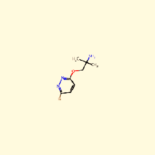 CC(C)(N)COc1ccc(Br)nn1